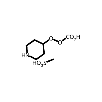 CS(=O)(=O)O.O=C(O)OOC1CCNCC1